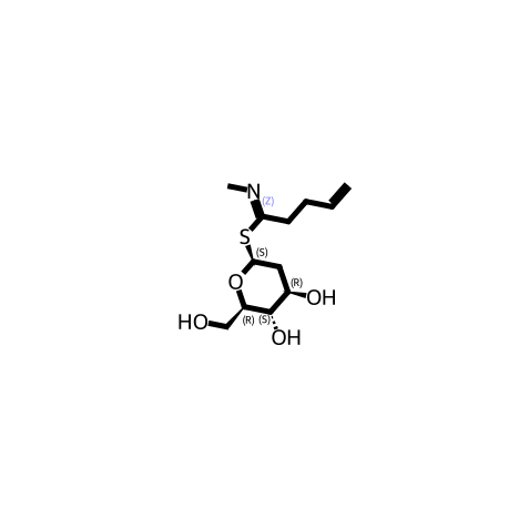 C=CCC/C(=N/C)S[C@H]1C[C@@H](O)[C@H](O)[C@@H](CO)O1